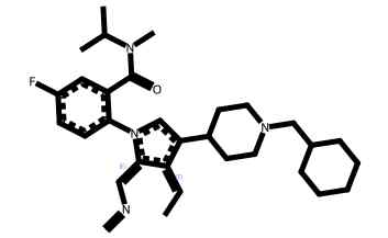 C=N/C=c1\c(=C/C)c(C2CCN(CC3CCCCC3)CC2)cn1-c1ccc(F)cc1C(=O)N(C)C(C)C